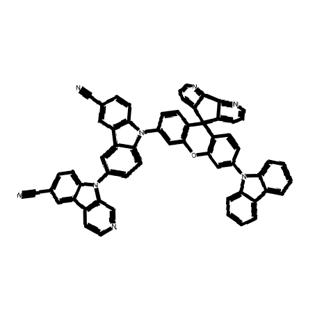 N#Cc1ccc2c(c1)c1cc(-n3c4ccc(C#N)cc4c4ccncc43)ccc1n2-c1ccc2c(c1)Oc1cc(-n3c4ccccc4c4ccccc43)ccc1C21c2cccnc2-c2ncccc21